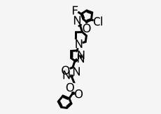 N#CC1(Oc2cc(F)ccc2Cl)CCN(c2ccc(-c3nc(COC(=O)c4ccccc4)no3)nn2)CC1